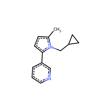 Cc1ccc(-c2cccnc2)n1CC1CC1